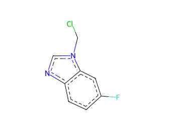 Fc1ccc2ncn(CCl)c2c1